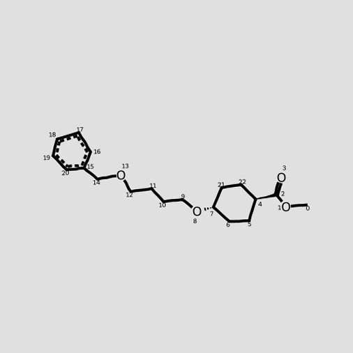 COC(=O)[C@H]1CC[C@H](OCCCCOCc2ccccc2)CC1